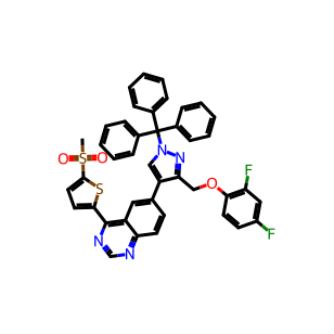 CS(=O)(=O)c1ccc(-c2ncnc3ccc(-c4cn(C(c5ccccc5)(c5ccccc5)c5ccccc5)nc4COc4ccc(F)cc4F)cc23)s1